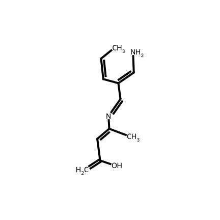 C=C(O)/C=C(C)/N=C/C(/C=C\C)=C/N